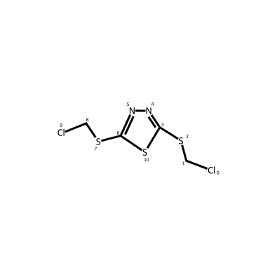 ClCSc1nnc(SCCl)s1